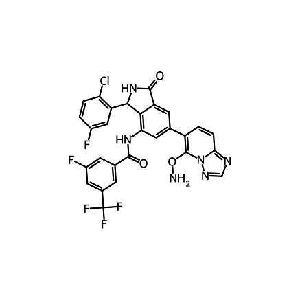 NOc1c(-c2cc(NC(=O)c3cc(F)cc(C(F)(F)F)c3)c3c(c2)C(=O)NC3c2cc(F)ccc2Cl)ccc2ncnn12